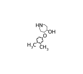 Cc1ccc(O[C@@H]2CCNCC[C@H]2O)cc1C